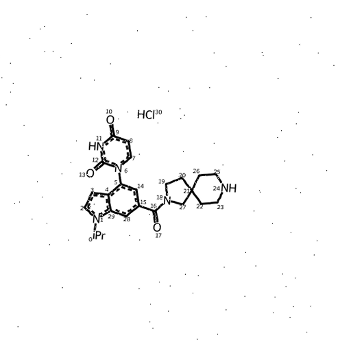 CC(C)n1ccc2c(-n3ccc(=O)[nH]c3=O)cc(C(=O)N3CCC4(CCNCC4)C3)cc21.Cl